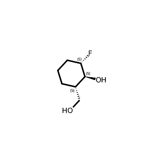 OC[C@@H]1CCC[C@H](F)[C@H]1O